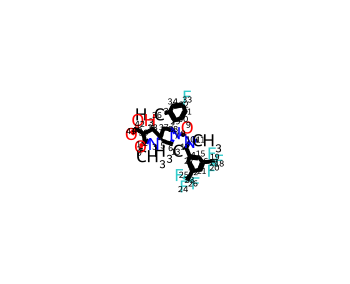 COC1=N[C@]2(CCN(C(=O)N(C)[C@H](C)c3cc(C(F)(F)F)cc(C(F)(F)F)c3)[C@@H](c3ccc(F)cc3C)C2)CC1C(=O)O